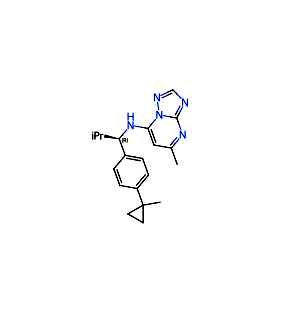 Cc1cc(N[C@@H](c2ccc(C3(C)CC3)cc2)C(C)C)n2ncnc2n1